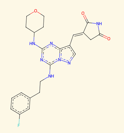 O=C1C/C(=C\c2cnn3c(NCCc4cccc(F)c4)nc(NC4CCOCC4)nc23)C(=O)N1